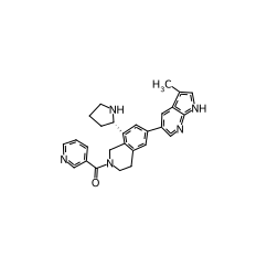 Cc1c[nH]c2ncc(-c3cc4c(c([C@@H]5CCCN5)c3)CN(C(=O)c3cccnc3)CC4)cc12